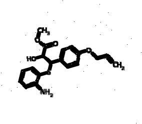 C=CCOc1ccc(C(Sc2ccccc2N)C(O)C(=O)OC)cc1